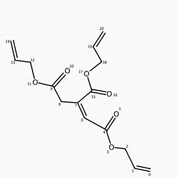 C=CCOC(=O)C=C(CC(=O)OCC=C)C(=O)OCC=C